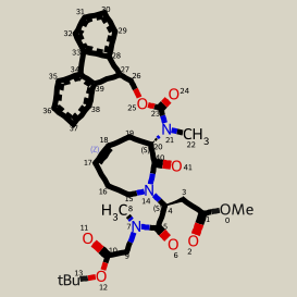 COC(=O)C[C@@H](C(=O)N(C)CC(=O)OC(C)(C)C)N1CC/C=C\C[C@H](N(C)C(=O)OCC2c3ccccc3-c3ccccc32)C1=O